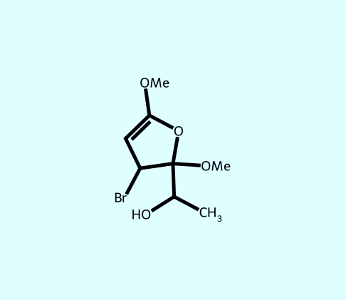 COC1=CC(Br)C(OC)(C(C)O)O1